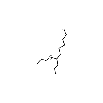 [CH2]CCCCCC(CC[CH2])SCCC